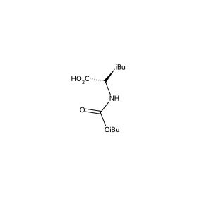 CC[C@H](C)[C@H](NC(=O)OCC(C)C)C(=O)O